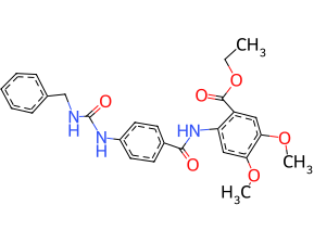 CCOC(=O)c1cc(OC)c(OC)cc1NC(=O)c1ccc(NC(=O)NCc2ccccc2)cc1